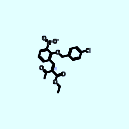 CCOC(=O)/C(=C/c1cccc([N+](=O)[O-])c1OCc1ccc(Cl)cc1)C(C)=O